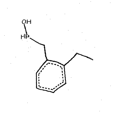 CCc1ccccc1CPO